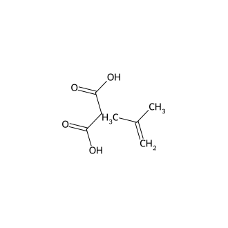 C=C(C)C.O=C(O)CC(=O)O